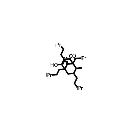 CC(C)CCC1=C(O)C2(CCC(C)C)CC(CCC(C)C)C(C)C(C(=O)C(C)C)(C1=O)C2=O